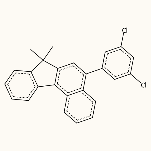 CC1(C)c2ccccc2-c2c1cc(-c1cc(Cl)cc(Cl)c1)c1ccccc21